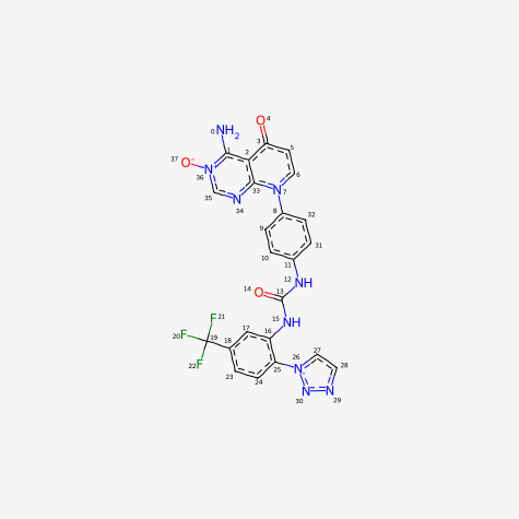 Nc1c2c(=O)ccn(-c3ccc(NC(=O)Nc4cc(C(F)(F)F)ccc4-n4ccnn4)cc3)c2nc[n+]1[O-]